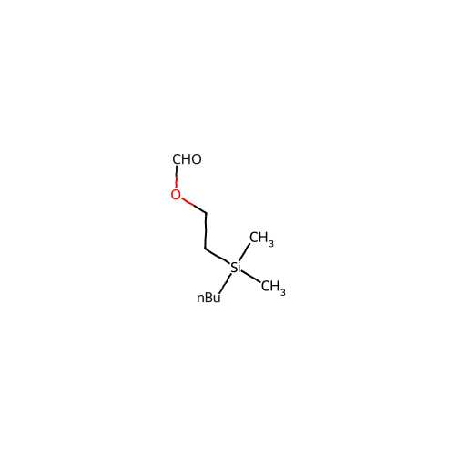 CCCC[Si](C)(C)CCOC=O